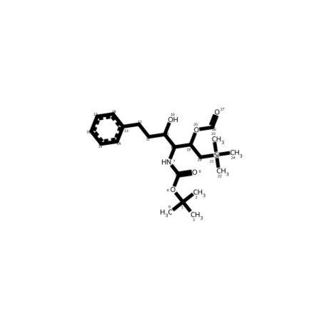 CC(C)(C)OC(=O)NC(C(O)CCc1ccccc1)C(C[Si](C)(C)C)O[C]=O